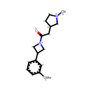 COc1cccc(C2CN(C(=O)CC3CCN(C#N)C3)C2)c1